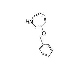 [C]1=C(OCc2ccccc2)C=CC=CN1